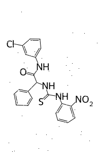 O=C(Nc1cccc(Cl)c1)C(NC(=S)Nc1ccccc1[N+](=O)[O-])c1ccccc1